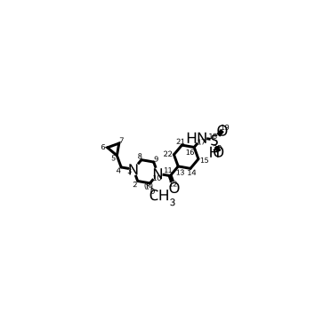 C[C@@H]1CN(CC2CC2)CCN1C(=O)C1CCC(N[SH](=O)=O)CC1